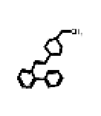 CCC1CCC(C=Cc2ccccc2-c2ccccc2)CC1